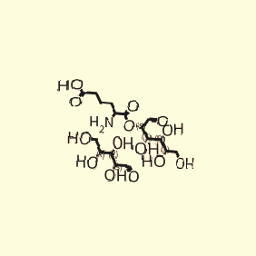 NC(CCCC(=O)O)C(=O)O[C@H](C=O)[C@@H](O)[C@H](O)[C@H](O)CO.O=C[C@@H](O)[C@H](O)[C@H](O)CO